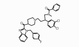 CN(CC(CCN1CCC(C(=O)c2nc3ccccc3n2Cc2ccc(F)cc2)CC1)c1ccc(Cl)c(Cl)c1)C(=O)c1ccccc1